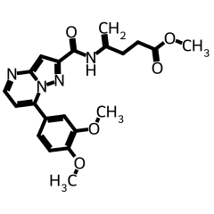 C=C(CCC(=O)OC)NC(=O)c1cc2nccc(-c3ccc(OC)c(OC)c3)n2n1